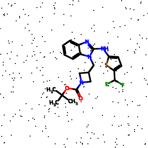 CC(C)(C)OC(=O)N1CC(Cn2c(Nc3ccc(C(F)F)s3)nc3ccccc32)C1